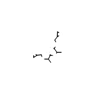 CC(OCC1CO1)C(=O)OC(C)C(=O)OCC1CO1